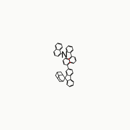 c1ccc(-c2ccccc2N(c2ccc(-c3ccc4c(c3)C3(c5ccccc5-4)C4CC5CC(C4)CC3C5)cc2)c2cccc3ccccc23)cc1